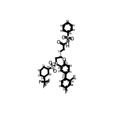 O=C(CC[C@H]1CN(S(=O)(=O)C2CCCC(C(F)(F)F)C2)c2cc(-c3ccc(F)cc3F)ccc2O1)NS(=O)(=O)c1ccccc1